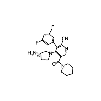 N#Cc1ncc(C(=O)N2CCCCC2)c(N2CC[C@H](N)C2)c1-c1cc(F)cc(F)c1